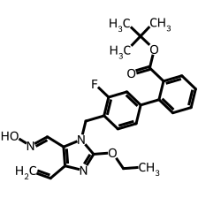 C=Cc1nc(OCC)n(Cc2ccc(-c3ccccc3C(=O)OC(C)(C)C)cc2F)c1/C=N/O